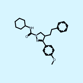 COc1ccc(C2=NN(C(=O)NC3CCCCC3)CC2CCc2ccccc2)cc1